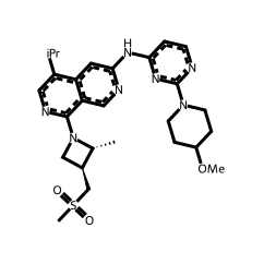 COC1CCN(c2nccc(Nc3cc4c(C(C)C)cnc(N5C[C@H](CS(C)(=O)=O)[C@H]5C)c4cn3)n2)CC1